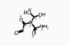 NC(=O)N(C(=O)C=O)C(O)O